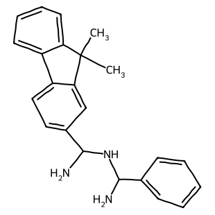 CC1(C)c2ccccc2-c2ccc(C(N)NC(N)c3ccccc3)cc21